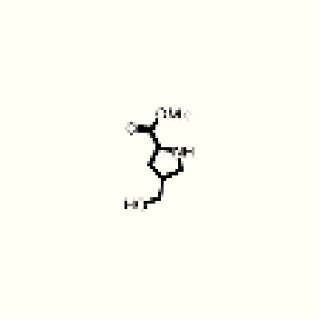 COC(=O)C1C[C@H](CO)CN1